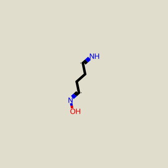 N=[C]CC/[C]=N/O